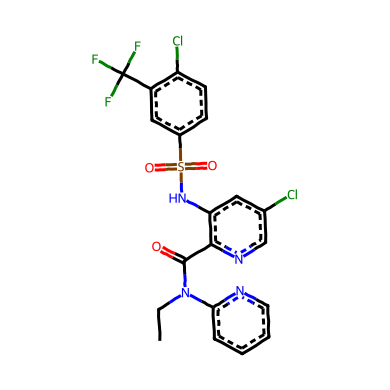 CCN(C(=O)c1ncc(Cl)cc1NS(=O)(=O)c1ccc(Cl)c(C(F)(F)F)c1)c1ccccn1